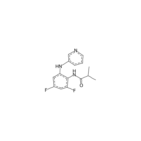 CC(C)C(=O)Nc1c(F)cc(F)cc1Nc1cccnc1